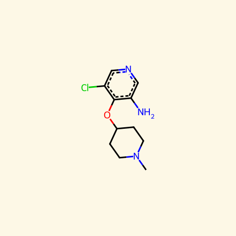 CN1CCC(Oc2c(N)cncc2Cl)CC1